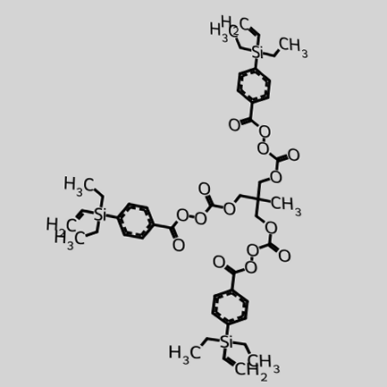 C=C[Si](CC)(CC)c1ccc(C(=O)OOC(=O)OCC(C)(COC(=O)OOC(=O)c2ccc([Si](C=C)(CC)CC)cc2)COC(=O)OOC(=O)c2ccc([Si](C=C)(CC)CC)cc2)cc1